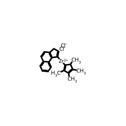 CC1=C(C)C(C)[C]([Zr+2][C]2=CCc3ccc4ccccc4c32)=C1C.[Cl-].[Cl-]